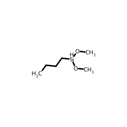 [CH2]CCC[SiH](OC)OC